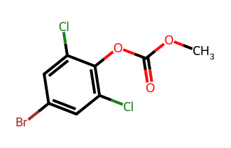 COC(=O)Oc1c(Cl)cc(Br)cc1Cl